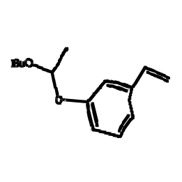 C=Cc1cccc(OC(C)OCC(C)C)c1